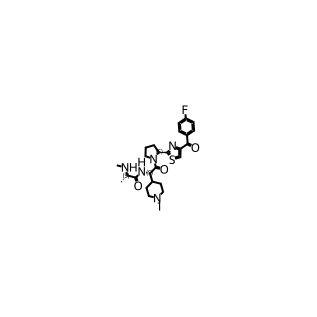 CN[C@@H](C)C(=O)N[C@H](C(=O)N1CCC[C@H]1c1nc(C(=O)c2ccc(F)cc2)cs1)C1CCN(I)CC1